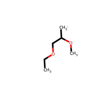 [CH2]C(COCC)OC